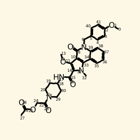 COc1ccc(Cn2c(=O)c3c(OC)c(C(=O)NC4CCN(C(=O)COC(C)=O)CC4)n(C)c3c3ccccc32)cc1